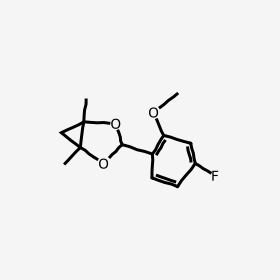 COc1cc(F)ccc1C1OC2(C)CC2(C)O1